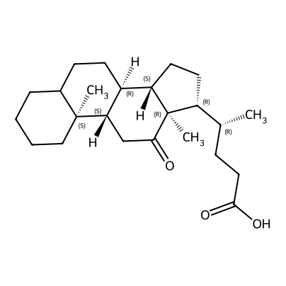 C[C@H](CCC(=O)O)[C@H]1CC[C@H]2[C@@H]3CCC4CCCC[C@]4(C)[C@H]3CC(=O)[C@]12C